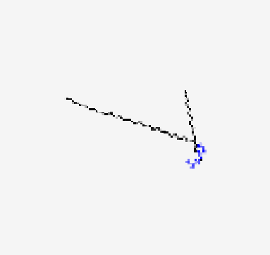 CCCCCCCCCCCCCCCCCCCCCCCCCCCCCC(CCCCCCCCCCC)c1cn(CN)nn1